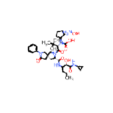 CCCC(NC(=O)[C@@H]1C[C@@]2(CC(=O)N(c3ccccc3)C2)CN1C(=O)[C@@H](N(C(=O)O)C1CCCC1)C(C)(C)C)[C@H](O)C(=O)NC1CC1.NO